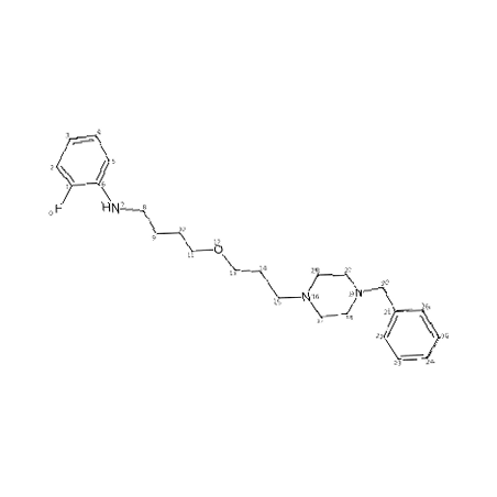 Fc1ccccc1NCCCCOCCCN1CCN(Cc2ccccc2)CC1